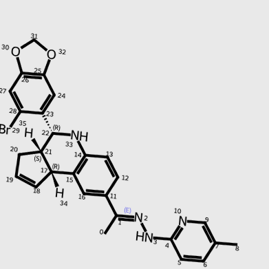 C/C(=N\Nc1ccc(C)cn1)c1ccc2c(c1)[C@@H]1C=CC[C@@H]1[C@H](c1cc3c(cc1Br)OCO3)N2